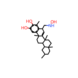 Cc1c(O)c(O)cc2c1C(CNO)C=C1C2(C)CCC2C3CC(C)CCC3(C)CCC12C